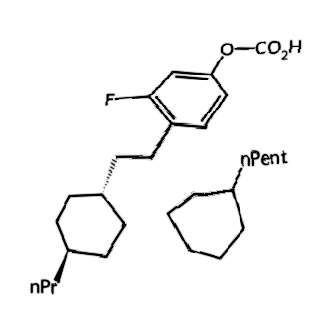 CCCCCC1CCCCC1.CCC[C@H]1CC[C@H](CCc2ccc(OC(=O)O)cc2F)CC1